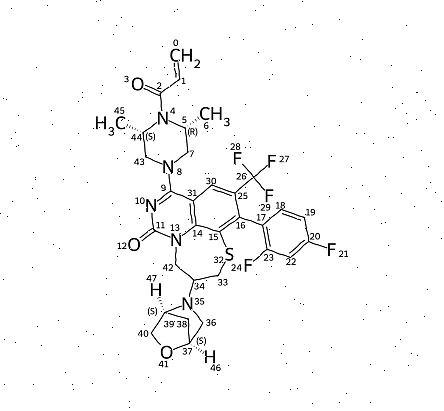 C=CC(=O)N1[C@H](C)CN(c2nc(=O)n3c4c(c(-c5ccc(F)cc5F)c(C(F)(F)F)cc24)SCC(N2C[C@@H]4C[C@H]2CO4)C3)C[C@@H]1C